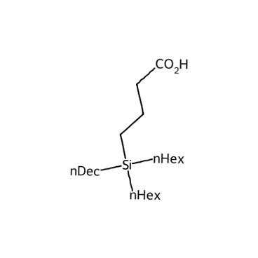 CCCCCCCCCC[Si](CCCCCC)(CCCCCC)CCCC(=O)O